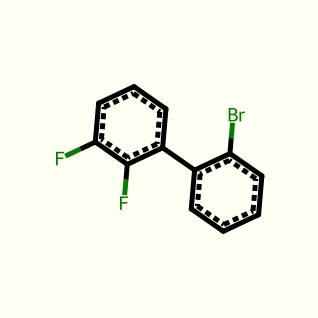 Fc1cccc(-c2ccccc2Br)c1F